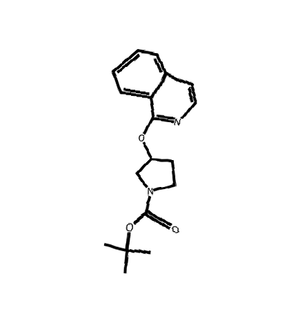 CC(C)(C)OC(=O)N1CCC(Oc2nccc3ccccc23)C1